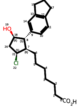 O=C(O)CCCCCC[C@@H]1[C@@H](c2ccc3c(c2)CCC3)[C@H](O)C[C@@H]1Cl